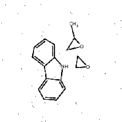 C1CO1.CC1CO1.c1ccc2c(c1)[nH]c1ccccc12